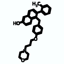 Cc1ccccc1-c1ccc2cc(O)ccc2c1Cc1ccc(OCCCN2CCOCC2)cc1